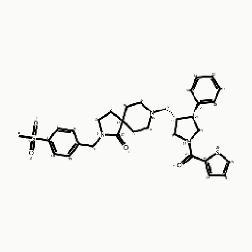 CS(=O)(=O)c1ccc(CN2CCC3(CCN(C[C@H]4CN(C(=O)c5cccs5)C[C@@H]4c4ccccc4)CC3)C2=O)cc1